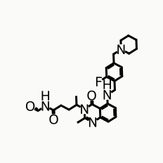 Cc1nc2cccc(NCc3ccc(CN4CCCCC4)cc3F)c2c(=O)n1C(C)CCC(=O)NC=O